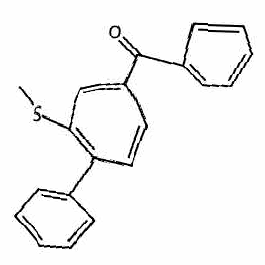 CSc1cc(C(=O)c2ccccc2)ccc1-c1ccccc1